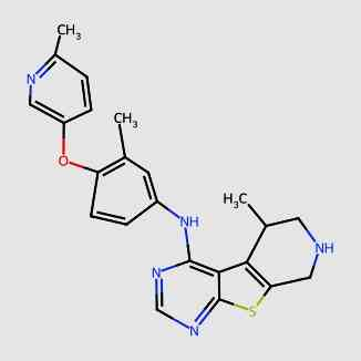 Cc1ccc(Oc2ccc(Nc3ncnc4sc5c(c34)C(C)CNC5)cc2C)cn1